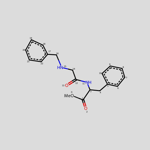 COC(=O)C(Cc1ccccc1)NC(=O)CNCc1ccccc1